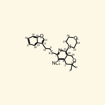 CC1(C)Cc2c(C#N)c(SCCc3coc4ccccc34)nc(N3CCOCC3)c2CO1